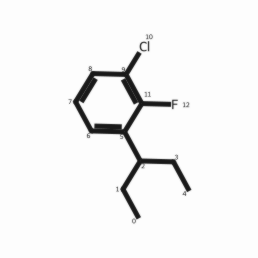 CCC(CC)c1cccc(Cl)c1F